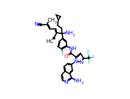 C#C/C(=C\C=C(/C)C#N)C(N)(CCC1CC1)c1ccc(F)c(NC(=O)c2cc(C(F)(F)F)nn2-c2ccc3ccnc(N)c3c2)c1